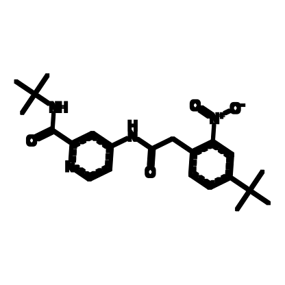 CC(C)(C)NC(=O)c1cc(NC(=O)Cc2ccc(C(C)(C)C)cc2[N+](=O)[O-])ccn1